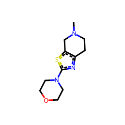 CN1CCc2nc(N3CCOCC3)sc2C1